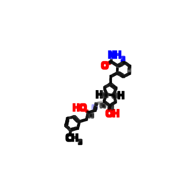 Cc1cccc(C[C@@H](O)/C=C/[C@@H]2[C@H]3CC(Cc4ccccc4C(N)=O)=C[C@H]3C[C@H]2O)c1